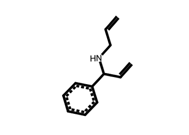 C=CCNC(C=C)c1ccccc1